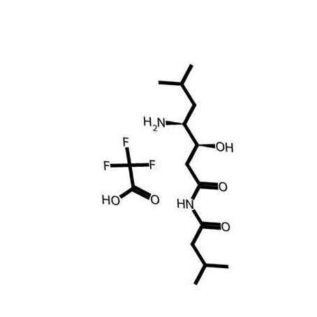 CC(C)CC(=O)NC(=O)C[C@H](O)[C@@H](N)CC(C)C.O=C(O)C(F)(F)F